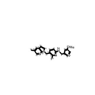 COc1cncc(CNc2ccc(Cn3ccc4cc(C)cnc43)c(F)n2)c1